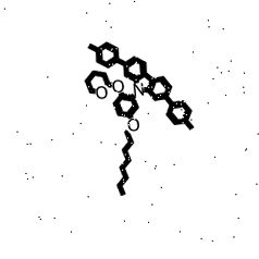 CCCCCCCCOc1ccc(OC2CCCCO2)c(-n2c3cc(-c4ccc(C)cc4)ccc3c3ccc(-c4ccc(C)cc4)cc32)c1